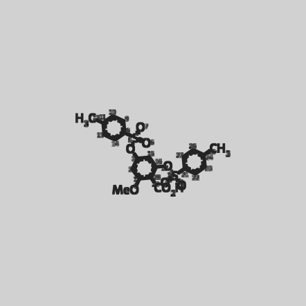 COc1cc(OS(=O)(=O)c2ccc(C)cc2)cc(OS(=O)(=O)c2ccc(C)cc2)c1C(=O)O